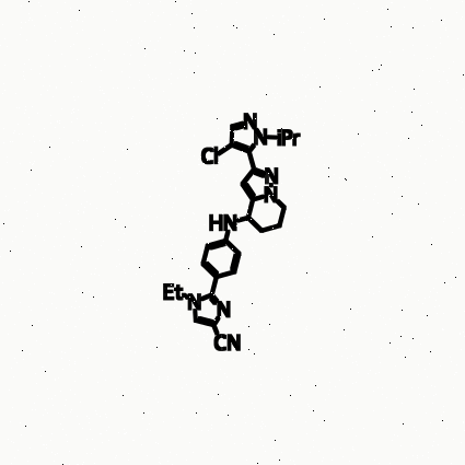 CCn1cc(C#N)nc1-c1ccc(NC2CCCn3nc(-c4c(Cl)cnn4C(C)C)cc32)cc1